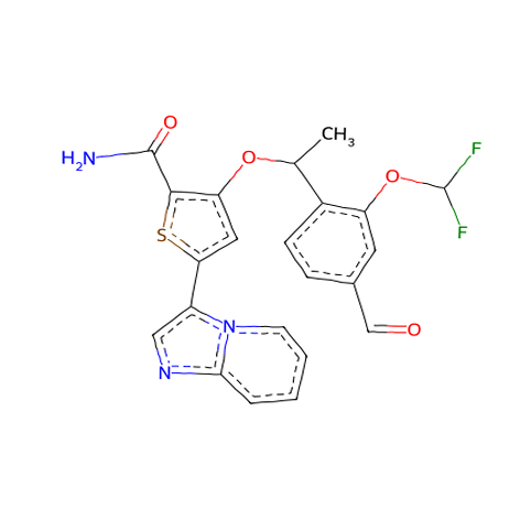 CC(Oc1cc(-c2cnc3ccccn23)sc1C(N)=O)c1ccc(C=O)cc1OC(F)F